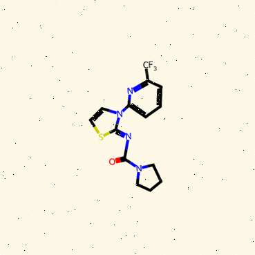 O=C(/N=c1\sccn1-c1cccc(C(F)(F)F)n1)N1CCCC1